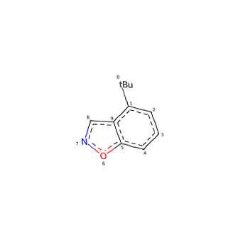 CC(C)(C)c1cccc2oncc12